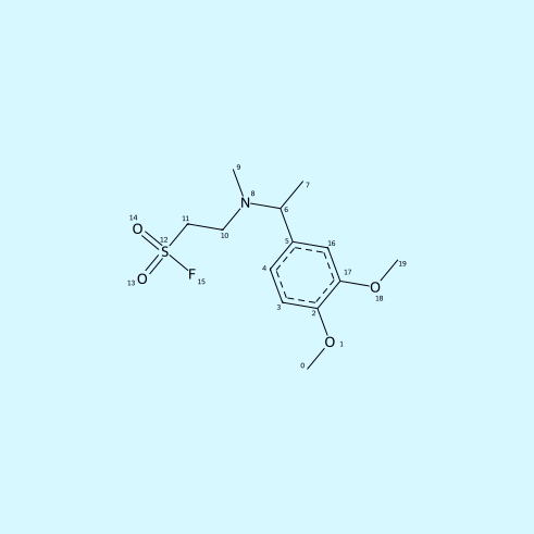 COc1ccc(C(C)N(C)CCS(=O)(=O)F)cc1OC